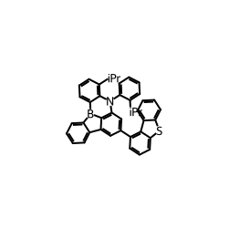 CC(C)c1ccccc1N1c2cc(-c3cccc4sc5ccccc5c34)cc3c2B(c2ccccc2-3)c2cccc(C(C)C)c21